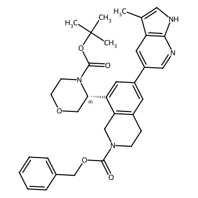 Cc1c[nH]c2ncc(-c3cc4c(c([C@@H]5COCCN5C(=O)OC(C)(C)C)c3)CN(C(=O)OCc3ccccc3)CC4)cc12